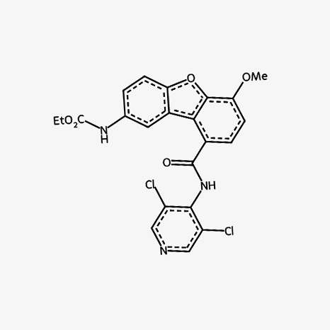 CCOC(=O)Nc1ccc2oc3c(OC)ccc(C(=O)Nc4c(Cl)cncc4Cl)c3c2c1